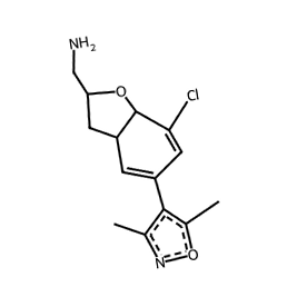 Cc1noc(C)c1C1=CC2CC(CN)OC2C(Cl)=C1